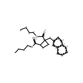 CCCCOC(=O)C1CCC1(Cc1ccc2ccccc2c1)C(=O)OCCCC